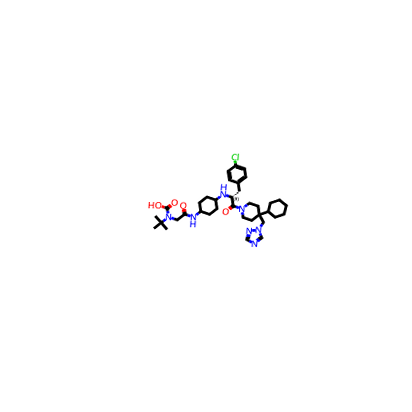 CC(C)(C)N(CC(=O)NC1CCC(N[C@H](Cc2ccc(Cl)cc2)C(=O)N2CCC(Cn3cncn3)(C3CCCCC3)CC2)CC1)C(=O)O